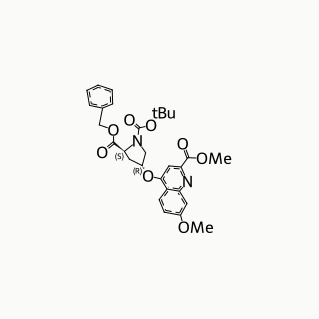 COC(=O)c1cc(O[C@@H]2C[C@@H](C(=O)OCc3ccccc3)N(C(=O)OC(C)(C)C)C2)c2ccc(OC)cc2n1